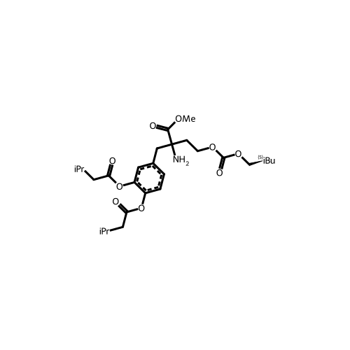 CC[C@H](C)COC(=O)OCCC(N)(Cc1ccc(OC(=O)CC(C)C)c(OC(=O)CC(C)C)c1)C(=O)OC